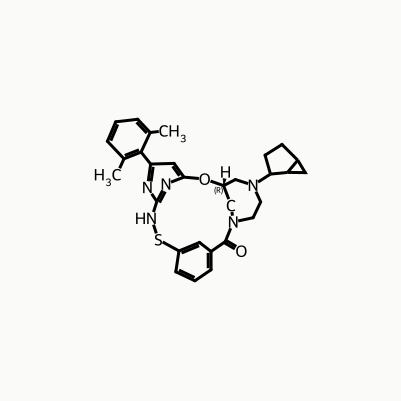 Cc1cccc(C)c1-c1cc2nc(n1)NSc1cccc(c1)C(=O)N1CCN(C3CCC4CC43)C[C@H](C1)O2